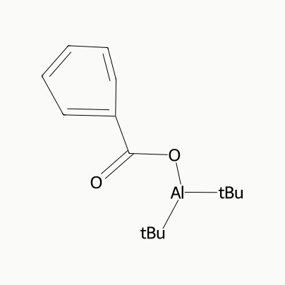 C[C](C)(C)[Al]([O]C(=O)c1ccccc1)[C](C)(C)C